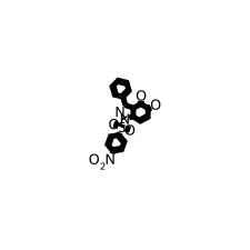 O=C1C=CC2C(C1=O)C(c1ccccc1)=NN2S(=O)(=O)c1ccc([N+](=O)[O-])cc1